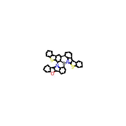 c1ccc2c(c1)oc1c3cccc4c3n(c21)-c1c2c(cc3c1sc1ccccc13)-c1cccc3c5c6ccccc6sc5n(c13)B24